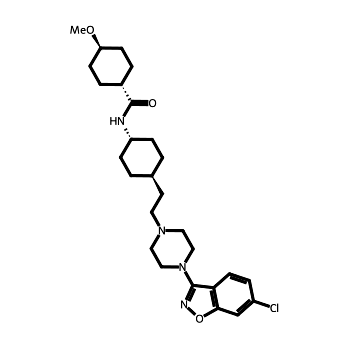 CO[C@H]1CC[C@H](C(=O)N[C@H]2CC[C@H](CCN3CCN(c4noc5cc(Cl)ccc45)CC3)CC2)CC1